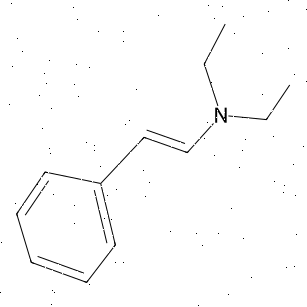 CCN(C=Cc1ccccc1)CC